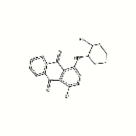 CCC1CCCCC1Nc1ccc(Br)c2c1C(=O)c1ccccc1C2=O